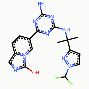 CC(C)(Nc1nc(N)nc(-c2ccc3cnc(O)n3c2)n1)c1ccn(C(F)F)n1